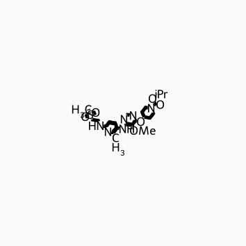 COc1c(Nc2ccc(NCCS(C)(=O)=O)nc2C)ncnc1OC1CCN(C(=O)OC(C)C)CC1